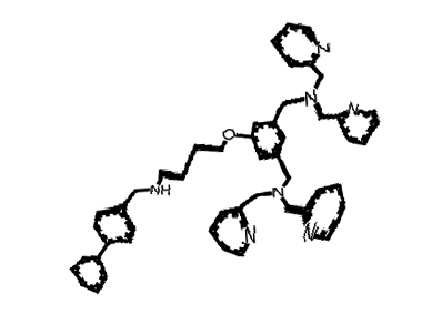 c1ccc(-c2ccc(CNCCCCOc3cc(CN(Cc4ccccn4)Cc4ccccn4)cc(CN(Cc4ccccn4)Cc4ccccn4)c3)cc2)cc1